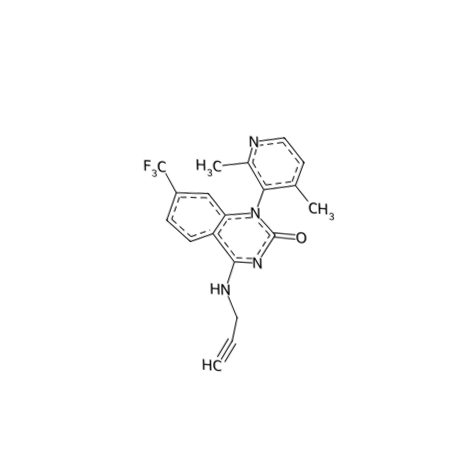 C#CCNc1nc(=O)n(-c2c(C)ccnc2C)c2cc(C(F)(F)F)ccc12